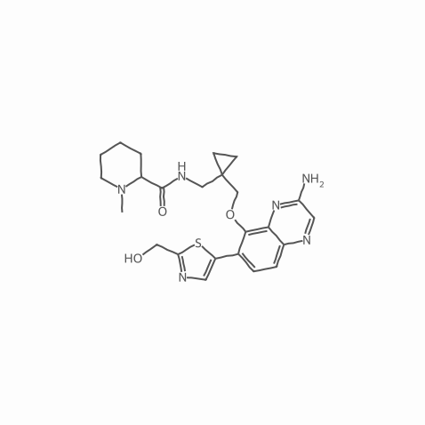 CN1CCCCC1C(=O)NCC1(COc2c(-c3cnc(CO)s3)ccc3ncc(N)nc23)CC1